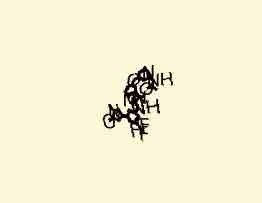 CC(=O)Nc1cc(Oc2ccc3nc(Nc4cc(C5CC(=O)N(C)C5)cc(C(F)(F)F)c4)n(C)c3c2)ccn1